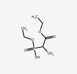 CCOC(=O)C(C)P(=O)(O)OCC